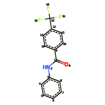 O=C(Nc1c[c]ccc1)c1ccc(C(F)(F)F)cc1